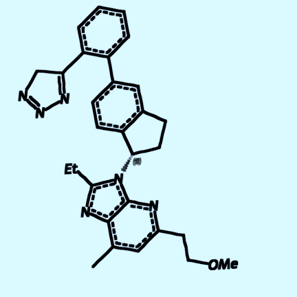 CCc1nc2c(C)cc(CCOC)nc2n1[C@H]1CCc2cc(-c3ccccc3C3=NN=NC3)ccc21